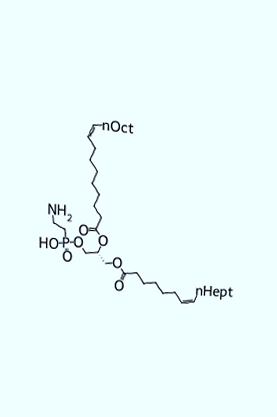 CCCCCCC/C=C\CCCCCC(=O)OC[C@H](COP(=O)(O)CCN)OC(=O)CCCCCCC/C=C\CCCCCCCC